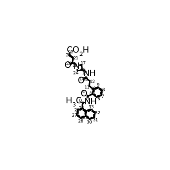 C[C@@H](NC(=O)c1ccccc1CCC(=O)NC1CN(C(=O)/C=C/C(=O)O)C1)c1cccc2ccccc12